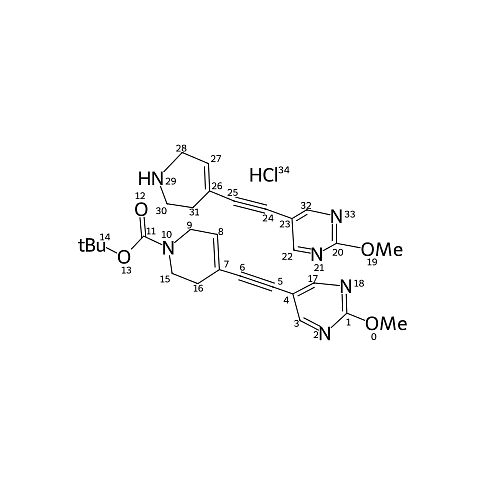 COc1ncc(C#CC2=CCN(C(=O)OC(C)(C)C)CC2)cn1.COc1ncc(C#CC2=CCNCC2)cn1.Cl